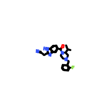 CC(C)C1CN(Cc2ccccc2F)CCN1C(=O)c1ccc2[nH]c(CC#N)nc2c1